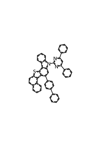 c1ccc(-c2ccc(-c3cc4c(c5ccccc5n4-c4nc(-c5ccccc5)cc(-c5ccccc5)n4)c4sc5ccc6ccccc6c5c34)cc2)cc1